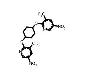 O=[N+]([O-])c1cnc(OC2CCC(Oc3ncc([N+](=O)[O-])cc3C(F)(F)F)CC2)c(C(F)(F)F)c1